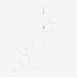 COc1cc2nnc([C@H]3CCC[C@@H](Nc4ncc(C(F)(F)F)c(OC5COC5)n4)C3)n2cc1OC